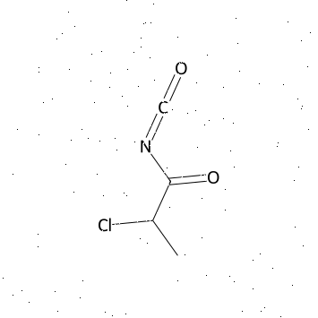 CC(Cl)C(=O)N=C=O